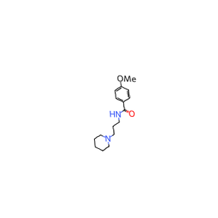 COc1ccc(C(=O)NCCCN2CCCCC2)cc1